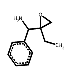 CCC1(C(N)c2ccccc2)CO1